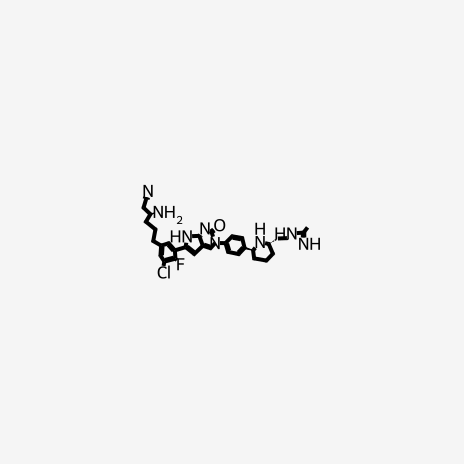 CC(=N)NCC[C@@H]1CCC[C@@H](c2ccc(-n3cc4cc(-c5cc(CCC[C@@H](N)CC#N)cc(Cl)c5F)[nH]c4nc3=O)cc2)N1